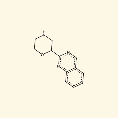 c1ccc2nc(C3CNCCO3)ncc2c1